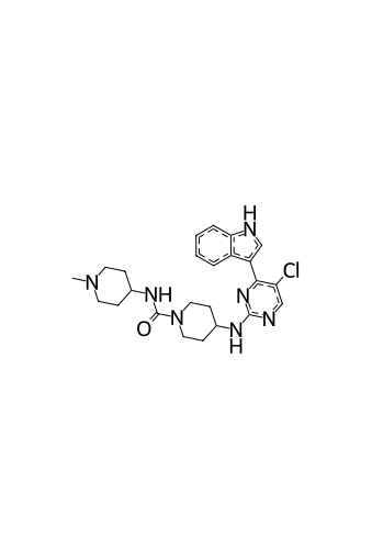 CN1CCC(NC(=O)N2CCC(Nc3ncc(Cl)c(-c4c[nH]c5ccccc45)n3)CC2)CC1